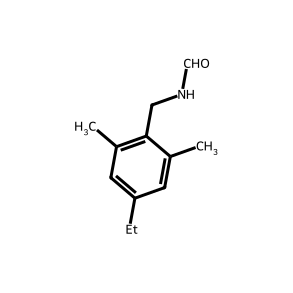 CCc1cc(C)c(CNC=O)c(C)c1